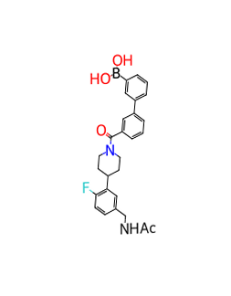 CC(=O)NCc1ccc(F)c(C2CCN(C(=O)c3cccc(-c4cccc(B(O)O)c4)c3)CC2)c1